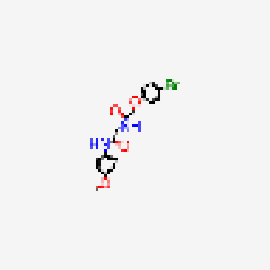 COc1ccc(NC(=O)CNC(=O)COc2ccc(Br)cc2)cc1